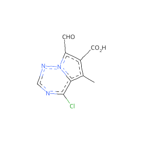 Cc1c(C(=O)O)c(C=O)n2ncnc(Cl)c12